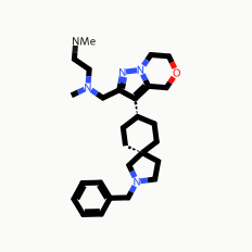 CNCCN(C)Cc1nn2c(c1[C@H]1CC[C@@]3(CCN(Cc4ccccc4)C3)CC1)COCC2